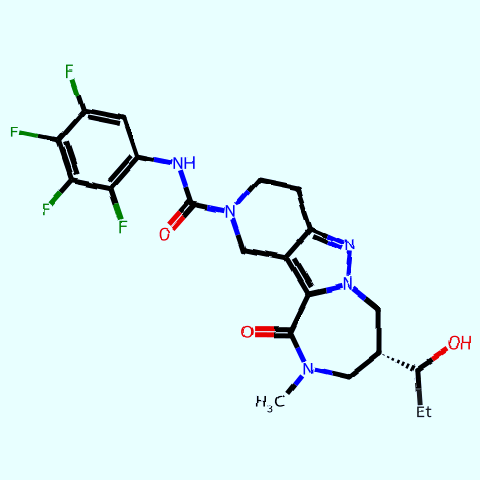 CCC(O)[C@@H]1CN(C)C(=O)c2c3c(nn2C1)CCN(C(=O)Nc1cc(F)c(F)c(F)c1F)C3